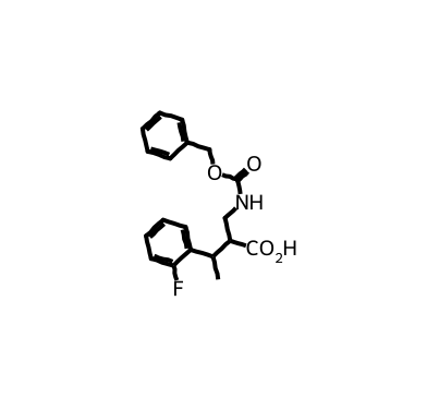 CC(c1ccccc1F)C(CNC(=O)OCc1ccccc1)C(=O)O